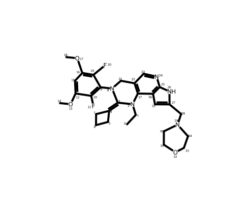 CCN1C(=C2CCC2)N(c2c(F)c(OC)cc(OC)c2F)Cc2cnc3[nH]c(CN4CCOCC4)cc3c21